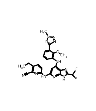 CCc1ccc(Nc2cc(Nc3cccc(-c4nnn(C)n4)c3OC)c3nc(C(F)F)[nH]c3n2)nc1C#N